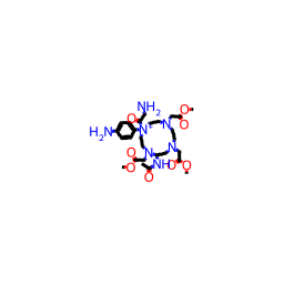 COC(=O)CN1CCN(CC(=O)OC)CC(NC(C)=O)N(CC(=O)OC)CC[N+](C(=O)CN)(c2ccc(N)cc2)CC1